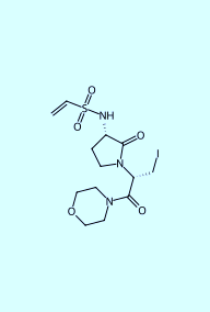 C=CS(=O)(=O)N[C@H]1CCN([C@H](CI)C(=O)N2CCOCC2)C1=O